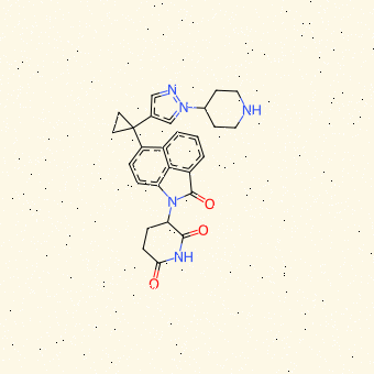 O=C1CCC(N2C(=O)c3cccc4c(C5(c6cnn(C7CCNCC7)c6)CC5)ccc2c34)C(=O)N1